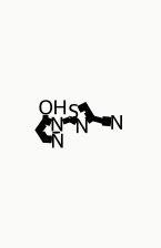 N#Cc1csc(-n2nccc2O)n1